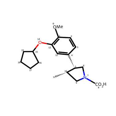 COc1ccc([C@@H]2CN(C(=O)O)C[C@@H]2C)cc1OC1CCCC1